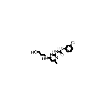 Cc1cc(NCCCO)nc(NC(=O)Nc2cccc(Cl)c2)n1